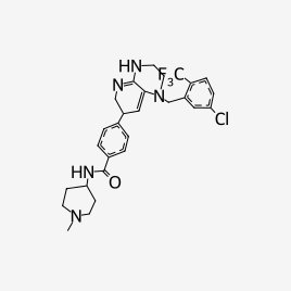 CN1CCC(NC(=O)c2ccc(C3C=C4C(=NC3)NCCN4Cc3cc(Cl)ccc3C(F)(F)F)cc2)CC1